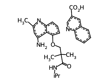 Cc1cc(N)c2c(OCC(C)(C)C(=O)NC(C)C)cccc2n1.O=C(O)c1cnc2ccccc2c1